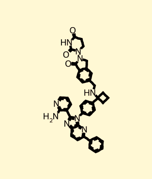 Nc1ncccc1-c1nc2ccc(-c3ccccc3)nc2n1-c1ccc(C2(NCc3ccc4c(c3)CN(N3CCC(=O)NC3=O)C4=O)CCC2)cc1